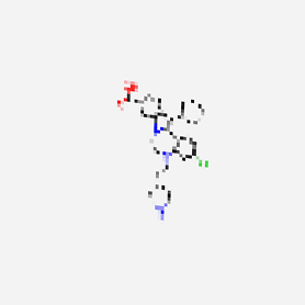 O=C(O)c1ccc2c(C3CCCCC3)c3n(c2c1)CCN(CCC1CCNCC1)c1cc(Cl)ccc1-3